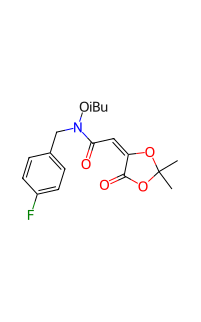 CC(C)CON(Cc1ccc(F)cc1)C(=O)C=C1OC(C)(C)OC1=O